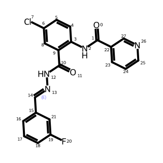 O=C(Nc1ccc(Cl)cc1C(=O)N/N=C/c1cccc(F)c1)c1cccnc1